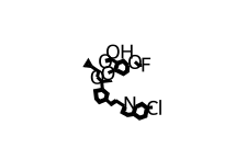 O=C(O)c1cc(OCF)ccc1OCC(OCC1CC1)c1cccc(/C=C/c2ccc3ccc(Cl)cc3n2)c1